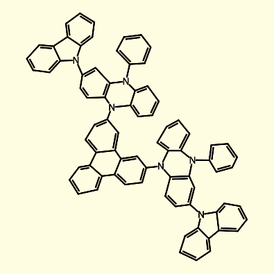 c1ccc(N2c3ccccc3N(c3ccc4c5ccccc5c5ccc(N6c7ccccc7N(c7ccccc7)c7cc(-n8c9ccccc9c9ccccc98)ccc76)cc5c4c3)c3ccc(-n4c5ccccc5c5ccccc54)cc32)cc1